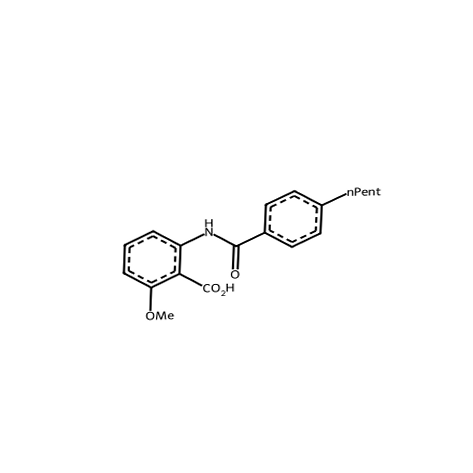 CCCCCc1ccc(C(=O)Nc2cccc(OC)c2C(=O)O)cc1